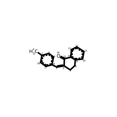 Cc1ccc(C=C2CCc3ccccc3C2=O)cc1